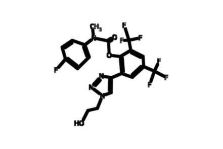 CN(C(=O)Oc1c(-c2cn(CCO)nn2)cc(C(F)(F)F)cc1C(F)(F)F)c1ccc(F)cc1